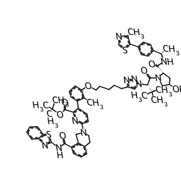 Cc1ncsc1-c1ccc([C@H](C)NC(=O)[C@@H]2C[C@@H](O)CN2C(=O)[C@@H](n2cc(CCCCCOc3cccc(-c4ccc(N5CCc6cccc(C(=O)Nc7nc8ccccc8s7)c6C5)nc4C(=O)OC(C)(C)C)c3C)nn2)C(C)(C)C)cc1